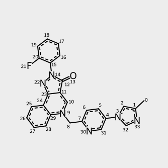 Cc1cn(-c2ccc(Cn3cc4c(=O)n(-c5ccccc5F)nc-4c4ccccc43)nc2)cn1